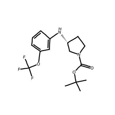 CC(C)(C)OC(=O)N1CC[C@@H](Nc2cccc(OC(F)(F)F)c2)C1